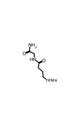 CCCCCCCCCC(=O)NCC(N)=O